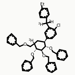 [2H]C([2H])(c1ccc(CC)cc1)c1cc([C@@H]2C[C@]([2H])(COCc3ccccc3)[C@@H](OCc3ccccc3)[C@H](OCc3ccccc3)[C@H]2OCc2ccccc2)ccc1Cl